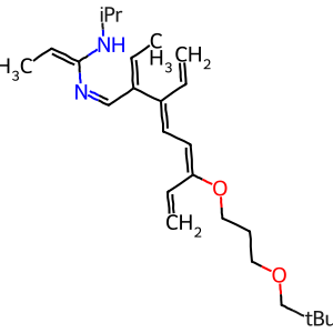 C=C/C(=C\C=C(/C=C)C(=CC)/C=N\C(=C/C)NC(C)C)OCCCOCC(C)(C)C